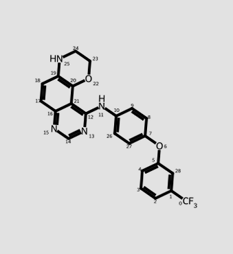 FC(F)(F)c1cccc(Oc2ccc(Nc3ncnc4ccc5c(c34)OCCN5)cc2)c1